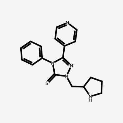 S=c1n(CC2CCCN2)nc(-c2ccncc2)n1-c1ccccc1